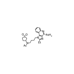 CCc1nc2c([AsH2])nc3ccccc3c2n1CCCCN(C(C)=O)C1CCS(=O)(=O)C1